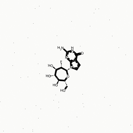 Nc1nc2c(ccn2[C@@H]2O[C@H](CO)[C@@H](O)[C@H](O)[C@@H](O)[C@@H]2F)c(=O)[nH]1